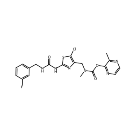 Cc1nccnc1OC(=O)N(C)Cc1nc(NC(=O)NCc2cccc(F)c2)sc1Cl